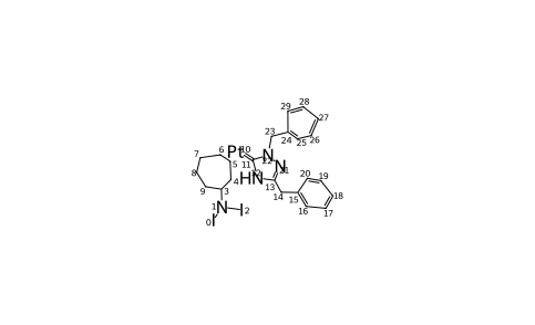 IN(I)C1CCCCCC1.[Pt]=[c]1[nH]c(Cc2ccccc2)nn1Cc1ccccc1